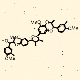 COc1ccc(C(O)C(C)Oc2ccc(C3OC(c4ccc(OC(C)C(O)c5ccc(OC)c(C)c5)c(OC)c4)C(C)C3C)cc2OC)cc1C